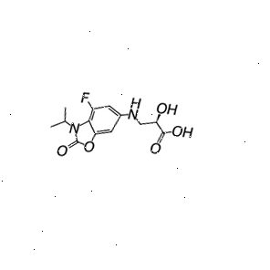 CC(C)n1c(=O)oc2cc(NC[C@@H](O)C(=O)O)cc(F)c21